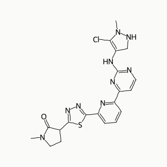 CN1CCC(c2nnc(-c3cccc(-c4ccnc(NC5=C(Cl)N(C)NC5)n4)n3)s2)C1=O